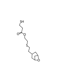 O=C(CCS)OCCSCCC1CC2CC(C1)O2